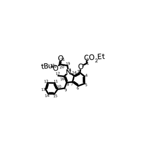 CCOC(=O)COc1cccc2c(Cc3ccccc3)c(C)n(CC(=O)OC(C)(C)C)c12